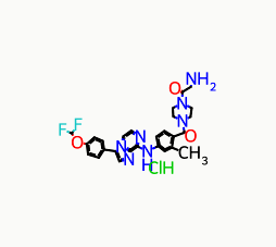 Cc1cc(Nc2nccn3c(-c4ccc(OC(F)F)cc4)cnc23)ccc1C(=O)N1CCN(C(=O)CN)CC1.Cl